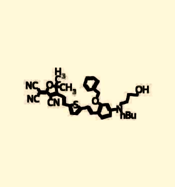 CCCCN(CCCCO)c1ccc(C=Cc2ccc(C=CC3=C(C#N)C(=C(C#N)C#N)OC3(C)C)s2)c(OCc2ccccc2)c1